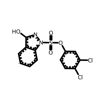 O=S(=O)(Oc1ccc(Cl)c(Cl)c1)n1nc(O)c2c[c]ccc21